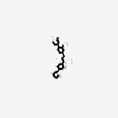 Cc1cc(-c2ccc(CC(=O)Nc3ccc(-c4cnccn4)cn3)cc2C(F)(F)F)ccn1